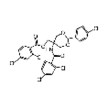 O=C(NC1(COC(=O)c2ccc(Cl)cc2Cl)COC(c2ccc(Cl)cc2)OC1)c1ccc(Cl)cc1Cl